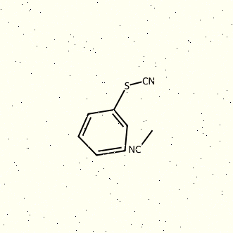 CC#N.N#CSc1ccccc1